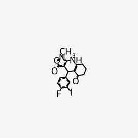 Cn1oc(=O)c2c1NC1=C(C(=O)CCC1)C2c1ccc(F)c(I)c1